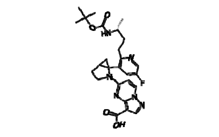 C[C@H](CCc1ncc(F)cc1C12CC1CCN2c1ccn2ncc(C(=O)O)c2n1)NC(=O)OC(C)(C)C